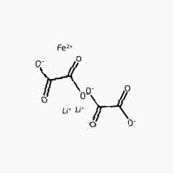 O=C([O-])C(=O)[O-].O=C([O-])C(=O)[O-].[Fe+2].[Li+].[Li+]